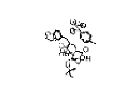 CC(C)(C)OC(=O)N[C@@H](C[C@H](Cc1ccc2[n+](c1)CCO2)C(=O)O)C(=O)O.Cc1ccc(S(=O)(=O)[O-])cc1